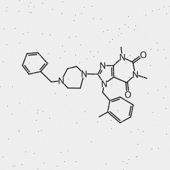 Cc1ccccc1Cn1c(N2CCN(Cc3ccccc3)CC2)nc2c1c(=O)n(C)c(=O)n2C